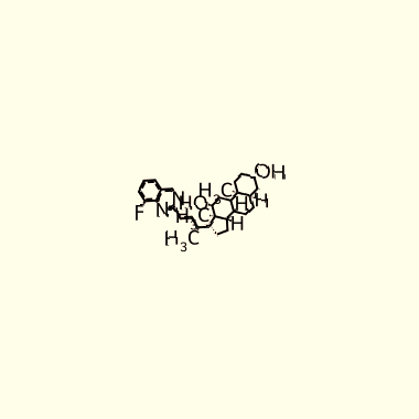 C[C@H](CCc1ncc2cccc(F)c2n1)[C@H]1CC[C@H]2[C@@H]3CC[C@@H]4C[C@H](O)CC[C@]4(C)C3C[C@H](O)[C@]12C